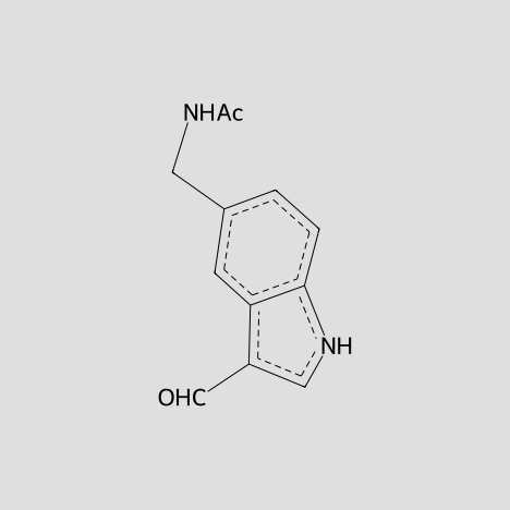 CC(=O)NCc1ccc2[nH]cc(C=O)c2c1